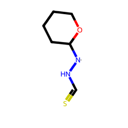 S=CN[N]C1CCCCO1